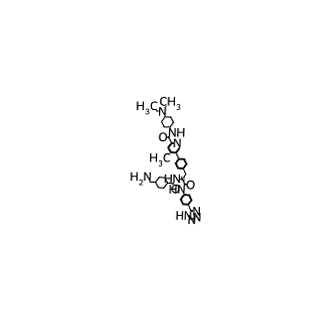 CCN(CC)C1CCC(NC(=O)c2cc(C)c(-c3ccc(C[C@H](NC(=O)C4CCC(CN)CC4)C(=O)Nc4ccc(-c5nnn[nH]5)cc4)cc3)cn2)CC1